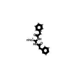 CCCCCCC(NC(=O)Cc1ccccc1)NC(=O)Cc1ccccc1